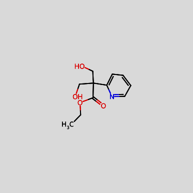 CCOC(=O)C(CO)(CO)c1ccccn1